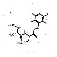 C[C@H](NC=O)C(=O)NC(CC(=O)O)C(=O)COc1c(F)c(F)cc(F)c1F